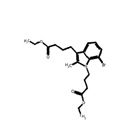 CCOC(=O)CCCc1c(C)n(CCCC(=O)OCC)c2c(Br)cccc12